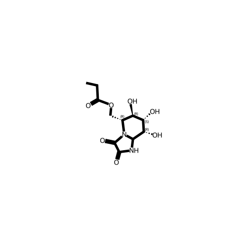 CCC(=O)OC[C@@H]1[C@@H](O)[C@H](O)[C@H](O)C2NC(=O)C(=O)N21